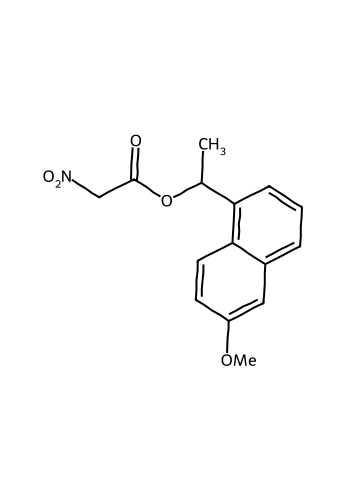 COc1ccc2c(C(C)OC(=O)C[N+](=O)[O-])cccc2c1